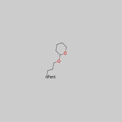 [CH2]CCCCCCCOC1CCCCO1